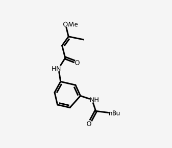 CCCCC(=O)Nc1cccc(NC(=O)C=C(C)OC)c1